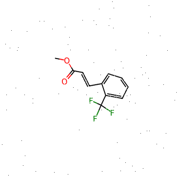 COC(=O)C=Cc1ccccc1C(F)(F)F